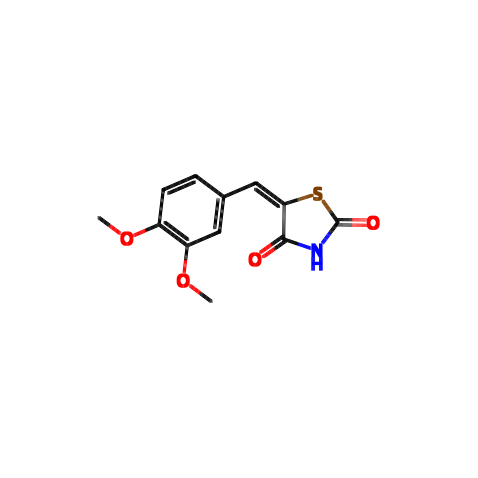 COc1ccc(C=C2SC(=O)NC2=O)cc1OC